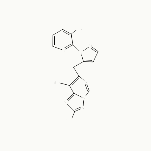 CCCc1c(Cc2ccnn2-c2ncccc2C#N)ncn2nc(C(F)(F)F)nc12